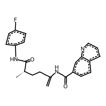 C=C(CC[C@H](C)C(=O)Nc1ccc(F)cc1)NC(=O)c1ccc2cccnc2c1